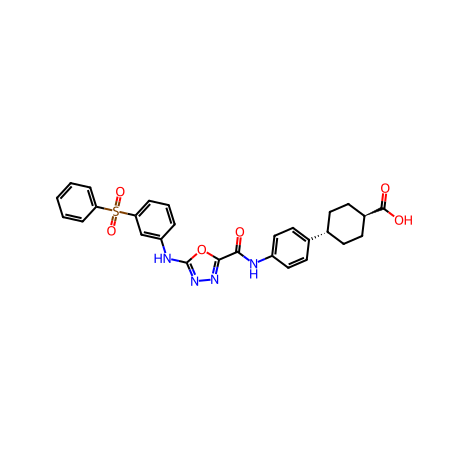 O=C(Nc1ccc([C@H]2CC[C@H](C(=O)O)CC2)cc1)c1nnc(Nc2cccc(S(=O)(=O)c3ccccc3)c2)o1